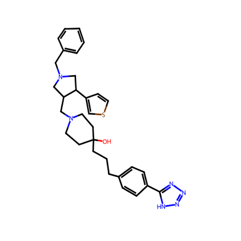 OC1(CCCc2ccc(-c3nnn[nH]3)cc2)CCN(CC2CN(Cc3ccccc3)CC2c2ccsc2)CC1